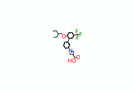 CCC(CC)COc1ccc(C(F)(F)F)cc1-c1cccc(N2CC(C(=O)O)C2)c1